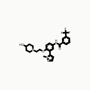 Cn1nccc1-c1cc(NC(=O)c2cccc(C(F)(F)F)c2)ccc1OCCN1CCC(O)CC1